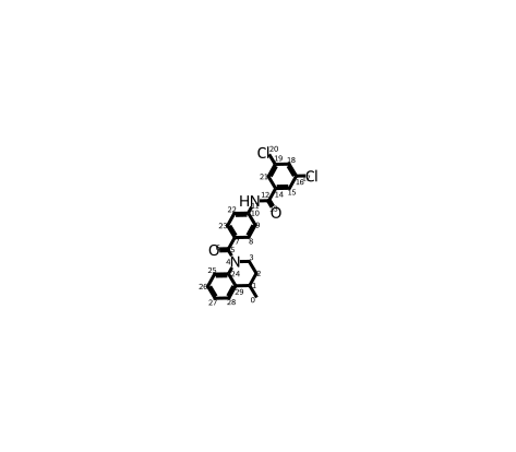 CC1CCN(C(=O)c2ccc(NC(=O)c3cc(Cl)cc(Cl)c3)cc2)c2ccccc21